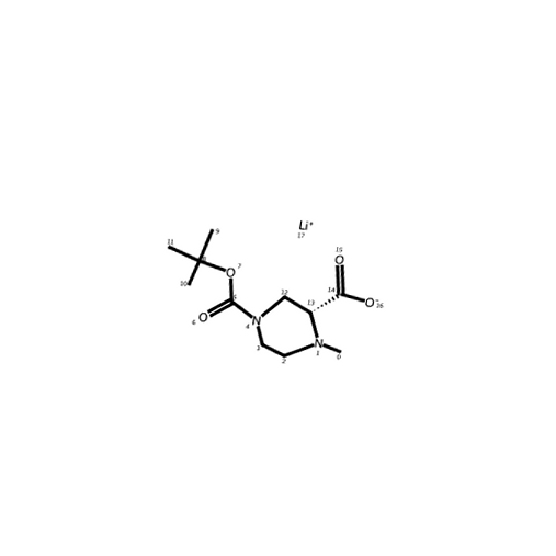 CN1CCN(C(=O)OC(C)(C)C)C[C@@H]1C(=O)[O-].[Li+]